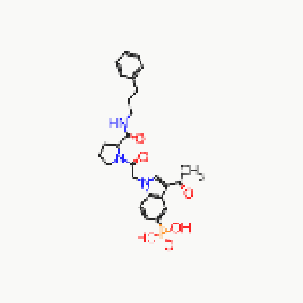 CC(=O)c1cn(CC(=O)N2CCC[C@H]2C(=O)NCCCc2ccccc2)c2ccc(P(=O)(O)O)cc12